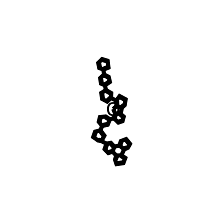 c1ccc(-c2ccc(-c3cccc(-c4cccc5c4oc4c(-c6cccc(-c7cccc(-c8ccc9c%10ccccc%10c%10ccccc%10c9c8)c7)c6)cccc45)c3)cc2)cc1